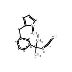 C=S1C=CC=C1Cc1cccc(C(C)(C)N=C=O)c1